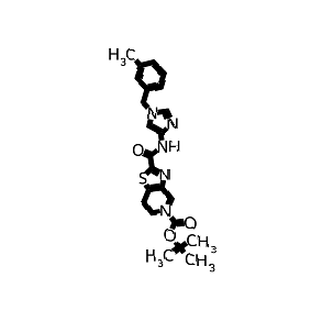 Cc1cccc(Cn2cnc(NC(=O)c3nc4c(s3)CCN(C(=O)OC(C)(C)C)C4)c2)c1